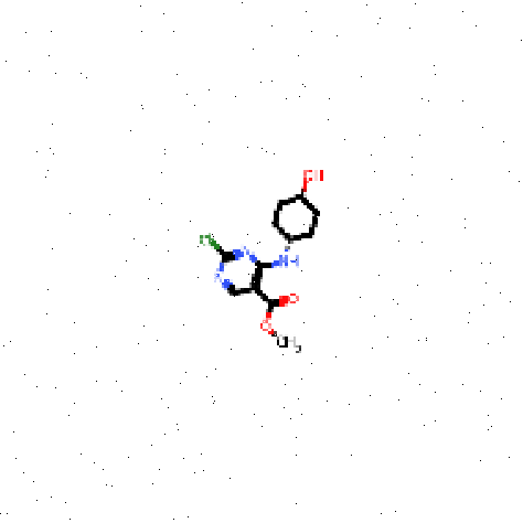 COC(=O)c1cnc(Cl)nc1N[C@H]1CC[C@H](O)CC1